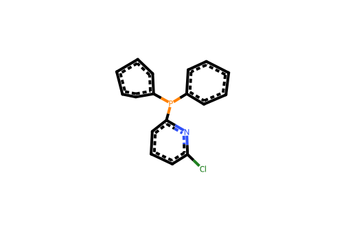 Clc1cccc(P(c2ccccc2)c2ccccc2)n1